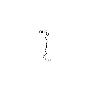 CCC(C)OCCCCCCO[C]=O